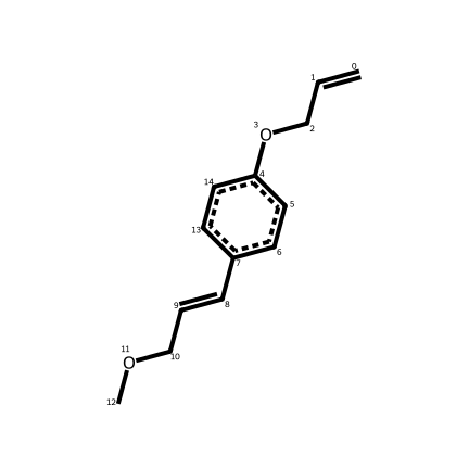 C=CCOc1ccc(C=CCOC)cc1